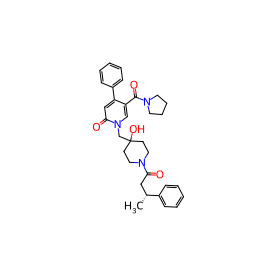 C[C@H](CC(=O)N1CCC(O)(Cn2cc(C(=O)N3CCCC3)c(-c3ccccc3)cc2=O)CC1)c1ccccc1